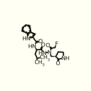 CC(C)CC(NC(=O)c1cc2ccccc2[nH]1)C(=O)NN(C[C@H]1CCNC1=O)C(=O)CF